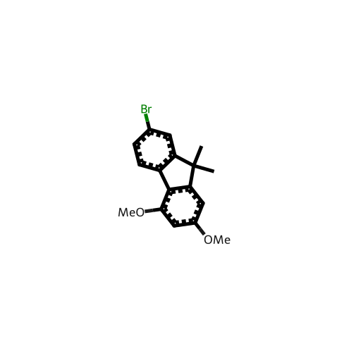 COc1cc(OC)c2c(c1)C(C)(C)c1cc(Br)ccc1-2